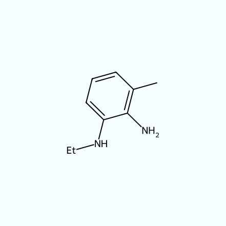 CCNc1cccc(C)c1N